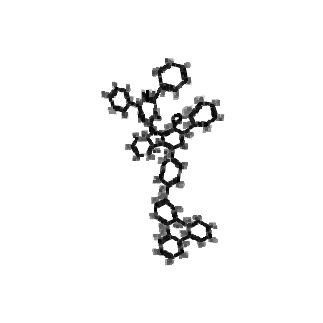 c1ccc(-c2nc(-c3ccccc3)nc(-n3c4ccccc4c4c(-c5ccc(-c6ccc7c8ccccc8c8ccccc8c7c6)cc5)cc5c6ccccc6oc5c43)n2)cc1